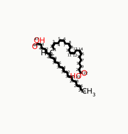 CC/C=C\C/C=C\C/C=C\C/C=C\C/C=C\CCCCCC(=O)O.CCC=CCCC=CCC=CCCC=CCCC=CCCC(=O)O